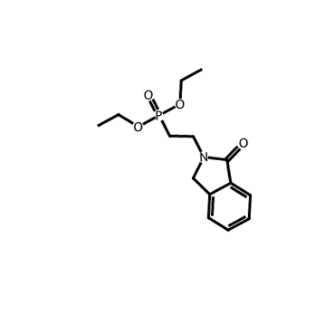 CCOP(=O)(CCN1Cc2ccccc2C1=O)OCC